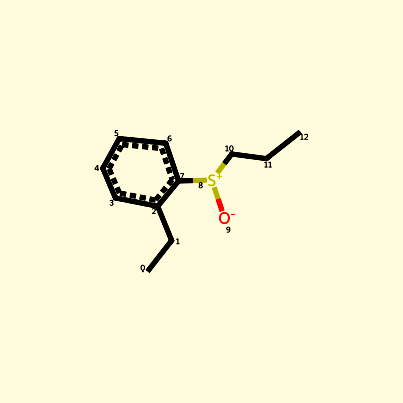 [CH2]Cc1ccccc1[S+]([O-])CCC